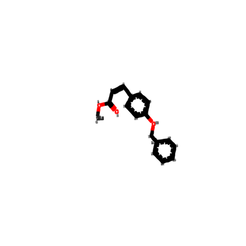 CC(C)(C)OC(=O)/C=C\c1ccc(OCc2ccccc2)cc1